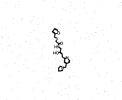 O=C(CSCc1ccco1)NCC(O)=CCc1cc(CN2CCCC2)ccn1